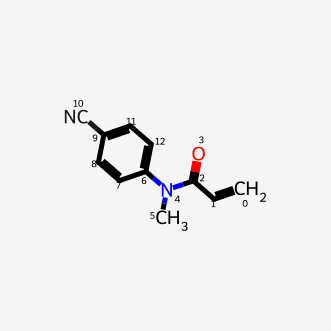 C=CC(=O)N(C)c1ccc(C#N)cc1